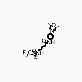 C[C@@H]1CN(c2ccc(NC(=O)CCCCNS(=O)(=O)CC(F)(F)F)cc2)C[C@H](C)O1